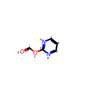 O=COc1ncccn1